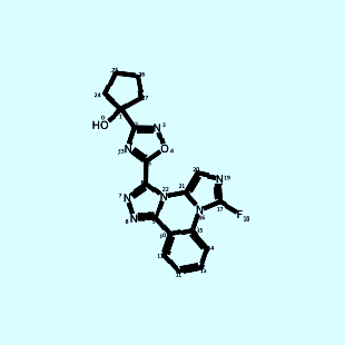 OC1(c2noc(-c3nnc4c5ccccc5n5c(F)ncc5n34)n2)CCCC1